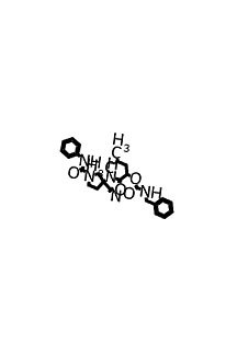 CC(C)CC(OC(=O)NCc1ccccc1)C(=O)NC1(C#N)CCN(C(=O)Nc2ccccc2)C1